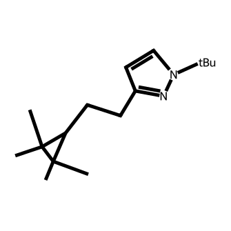 CC(C)(C)n1ccc(CCC2C(C)(C)C2(C)C)n1